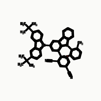 Cc1cccc(C)c1-n1c2ccccc2c2cc(-n3c4ccc(C(C)(C)C)cc4c4cc(C(C)(C)C)ccc43)cc(-c3ccc(C#N)cc3C#N)c21